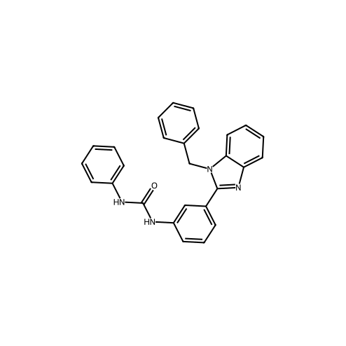 O=C(Nc1ccccc1)Nc1cccc(-c2nc3ccccc3n2Cc2ccccc2)c1